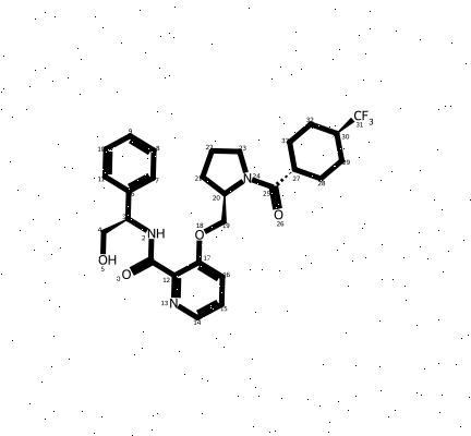 O=C(N[C@@H](CO)c1ccccc1)c1ncccc1OC[C@H]1CCCN1C(=O)[C@H]1CC[C@H](C(F)(F)F)CC1